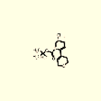 C[C@H]1CC=C(C2=CCOCC2)N(C(=O)OC(C)(C)C)C1